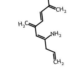 C=CC/C(N)=C/C(=C)/C=C/C(=C)C